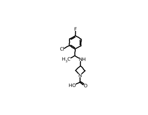 CC(NC1CN(C(=O)O)C1)c1ccc(F)cc1Cl